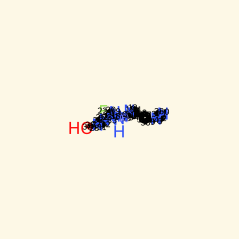 CN1CCN(Cc2ccc(-c3ccnc(/C=N/Nc4ncc(F)c(N5CCN(CCO)CC5)n4)c3)cc2)CC1